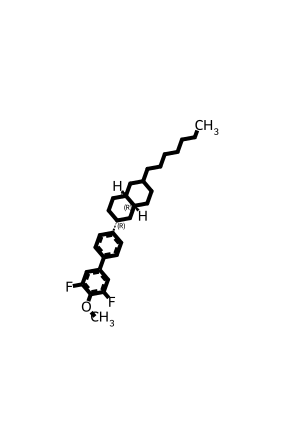 CCCCCCCC1CC[C@@H]2C[C@H](c3ccc(-c4cc(F)c(OC)c(F)c4)cc3)CC[C@@H]2C1